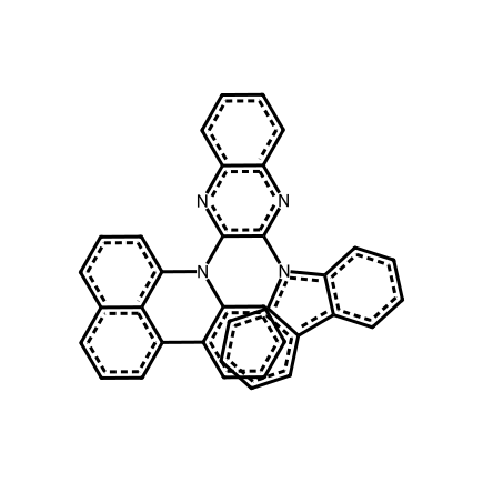 c1ccc2c(c1)-c1cccc3cccc(c13)N2c1nc2ccccc2nc1-n1c2ccccc2c2ccccc21